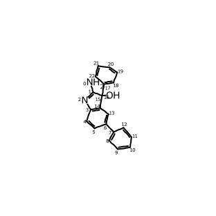 NC1=Nc2ccc(-c3ccccc3)cc2C1(O)c1ccccc1